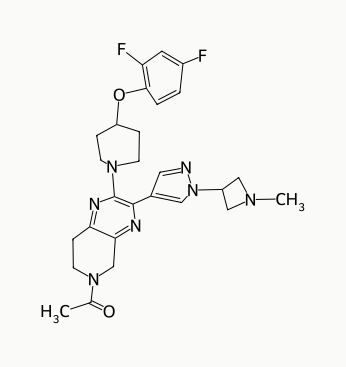 CC(=O)N1CCc2nc(N3CCC(Oc4ccc(F)cc4F)CC3)c(-c3cnn(C4CN(C)C4)c3)nc2C1